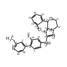 Cc1cc(-c2ccc(Nc3nc4n(n3)CCOC4c3ccccc3Cl)cc2F)ccn1